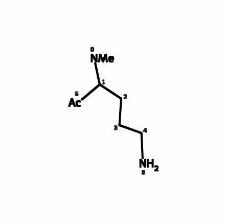 CNC(CCCN)C(C)=O